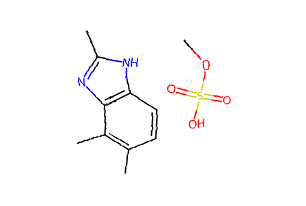 COS(=O)(=O)O.Cc1nc2c(C)c(C)ccc2[nH]1